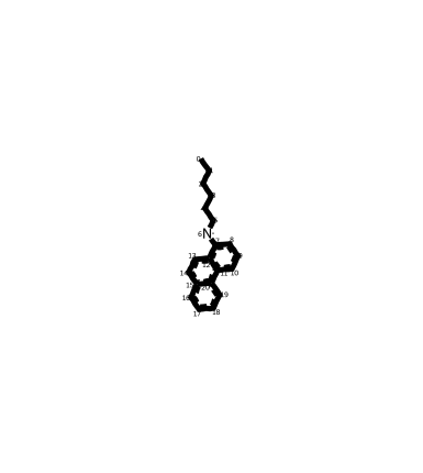 CCCCCC[N]c1cccc2c1ccc1ccccc12